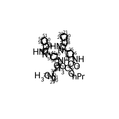 CCCOCC(C)OC(=O)Nc1ccc(-c2n[nH]c3c2Cc2ccccc2-3)cc1.CN1CCCC1CCOC(=O)Nc1ccc(-c2n[nH]c3c2Cc2ccccc2-3)cc1